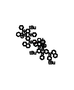 CC(C)(C)c1ccc(N(c2ccc3c(c2)N(c2ccccc2)c2cc(C(C)(C)C)cc4c2B3c2oc3c(c2N4c2ccccc2)C(C(C)(C)c2ccc(N(c4ccc5c(c4)N(c4ccccc4)c4cc(C(C)(C)C)cc6c4B5c4oc5c(c4N6c4ccccc4)CCCC5)c4cccc5ccccc45)cc2)CCC3)c2cccc3ccccc23)cc1